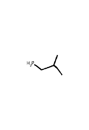 C[C](C)CP